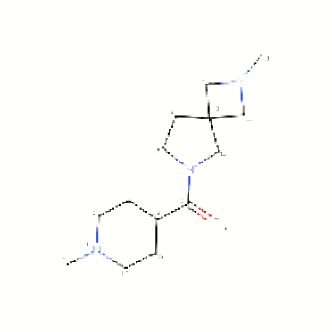 CN1CCC(C(=O)N2CCC3(CN(C)C3)C2)CC1